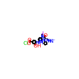 [N-]=[N+]=NC[C@@H]1C(=O)N(CI)c2ccc(Nc3ccc(C(=O)OCl)cc3O)nc2N1C1CCCC1